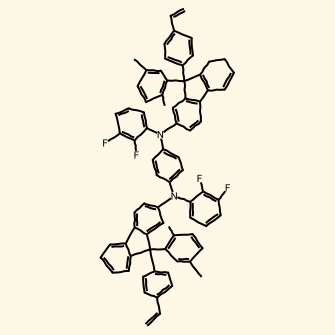 C=Cc1ccc(C2(c3cc(C)ccc3C)C3=C(C=CCC3)c3ccc(N(c4ccc(N(c5ccc6c(c5)C(c5ccc(C=C)cc5)(c5cc(C)ccc5C)c5ccccc5-6)c5cccc(F)c5F)cc4)c4cccc(F)c4F)cc32)cc1